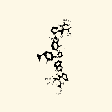 COC(=O)N[C@H](C(=O)N1CCC[C@H]1c1nc2c([nH]1)C=CC([C@H]1CC[C@H](c3ccc4[nH]c([C@@H]5CCCN5C(=O)[C@@H](NC(=O)OC)C(C)C)nc4c3)N1c1ccc(C3CC3)c(F)c1)C2C)C(C)C